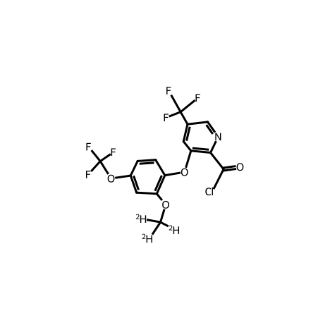 [2H]C([2H])([2H])Oc1cc(OC(F)(F)F)ccc1Oc1cc(C(F)(F)F)cnc1C(=O)Cl